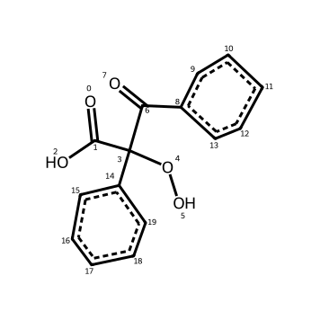 O=C(O)C(OO)(C(=O)c1ccccc1)c1ccccc1